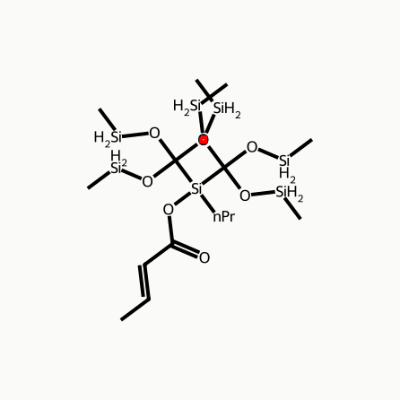 CC=CC(=O)O[Si](CCC)(C(O[SiH2]C)(O[SiH2]C)O[SiH2]C)C(O[SiH2]C)(O[SiH2]C)O[SiH2]C